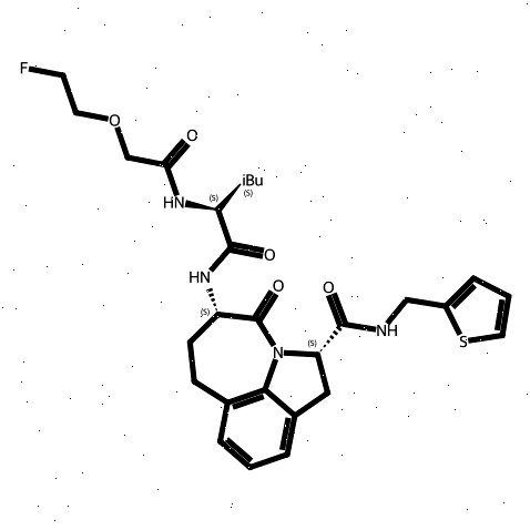 CC[C@H](C)[C@H](NC(=O)COCCF)C(=O)N[C@H]1CCc2cccc3c2N(C1=O)[C@H](C(=O)NCc1cccs1)C3